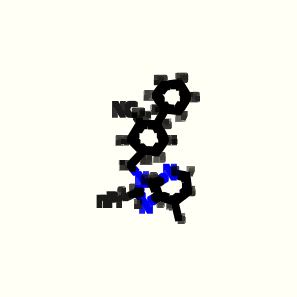 CCCc1nc2c(C)ccnc2n1Cc1ccc(-c2ccccc2)c(C#N)c1